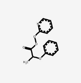 CC(Oc1ccccc1)C(=O)OOc1ccccn1